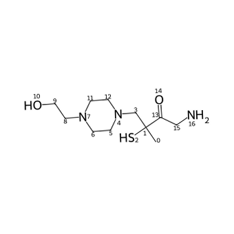 CC(S)(CN1CCN(CCO)CC1)C(=O)CN